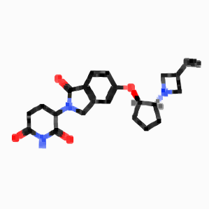 COC1CN([C@@H]2CCC[C@H]2Oc2ccc3c(c2)CN(C2CCC(=O)NC2=O)C3=O)C1